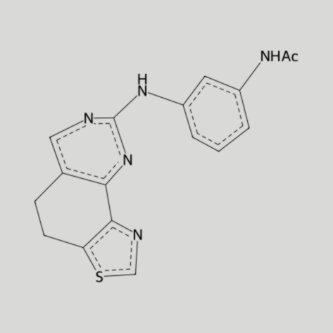 CC(=O)Nc1cccc(Nc2ncc3c(n2)-c2ncsc2CC3)c1